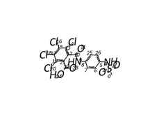 CS(=O)(=O)Nc1ccc(NC(=O)c2c(Cl)c(Cl)c(Cl)c(Cl)c2C(=O)O)cc1